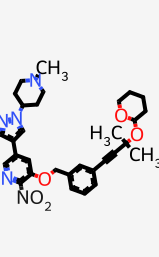 CN1CCC(n2cc(-c3cnc([N+](=O)[O-])c(OCc4cccc(C#CC(C)(C)OC5CCCCO5)c4)c3)cn2)CC1